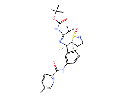 Cc1ccc(C(=O)Nc2ccc(F)c([C@@]3(C)N=C(NC(=O)OC(C)(C)C)C(C)(C)[S@@]4(=O)=NCC[C@@H]34)c2)nc1